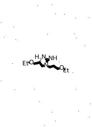 CCOCCCN(CCCOCC)C(=N)N